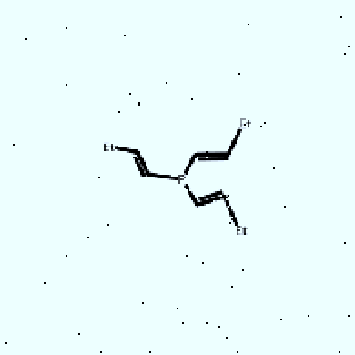 CCC=CP(C=CCC)C=CCC